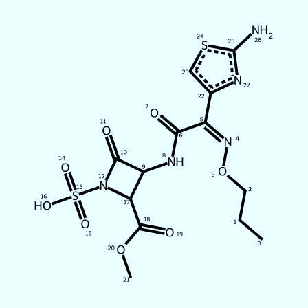 CCCON=C(C(=O)NC1C(=O)N(S(=O)(=O)O)C1C(=O)OC)c1csc(N)n1